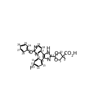 CC1(C(=O)O)COC(c2nc(-c3ccc(F)cc3)c(-c3ccnc(Oc4ccccc4)n3)[nH]2)OC1